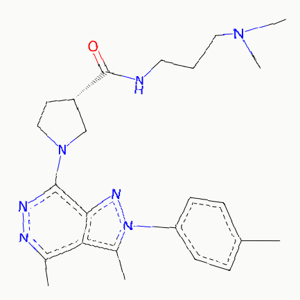 Cc1ccc(-n2nc3c(N4CC[C@H](C(=O)NCCCN(C)C)C4)nnc(C)c3c2C)cc1